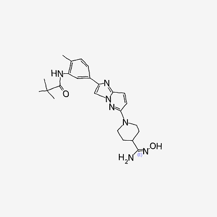 Cc1ccc(-c2cn3nc(N4CCC(/C(N)=N\O)CC4)ccc3n2)cc1NC(=O)C(C)(C)C